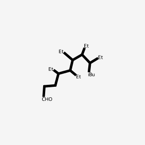 CCC(C)C(CC)C(CC)C(CC)C(CC)C(CC)CCC=O